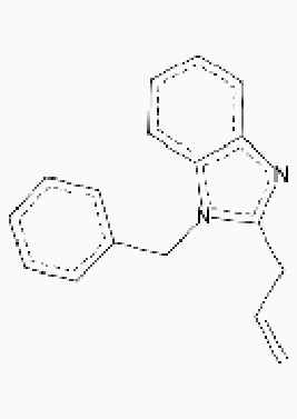 C=CCc1nc2ccccc2n1Cc1ccccc1